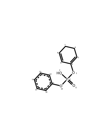 O=P(O)(OC1=CCCC=C1)Oc1ccccc1